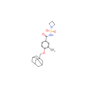 O=C(NS(=O)(=O)N1CCC1)c1ccc(OCC23CC4CC(CC(C4)C2)C3)c(C(F)(F)F)c1